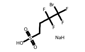 O=S(=O)(O)CCC(F)(F)C(F)(F)Br.[NaH]